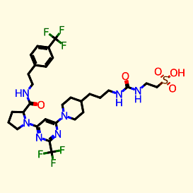 O=C(NCCCC1CCN(c2cc(N3CCCC3C(=O)NCCc3ccc(C(F)(F)F)cc3)nc(C(F)(F)F)n2)CC1)NCCS(=O)(=O)O